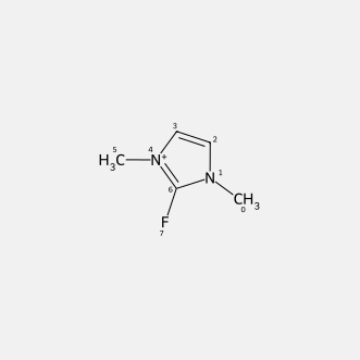 Cn1cc[n+](C)c1F